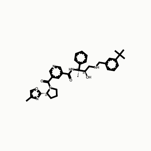 Cc1coc([C@H]2CCCN2C(=O)c2cncc(C(=O)N[C@@](C)(c3ccccc3)[C@H](O)CNCc3cccc(C(C)(C)C)c3)c2)n1